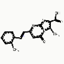 Cc1ccccc1/C=C/c1cc(=O)n2c(C)c(C(=O)O)sc2n1